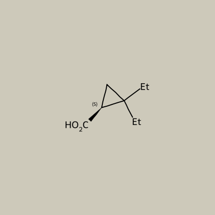 CCC1(CC)C[C@@H]1C(=O)O